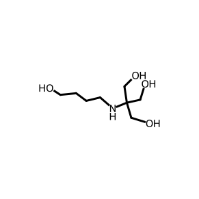 OCCCCNC(CO)(CO)CO